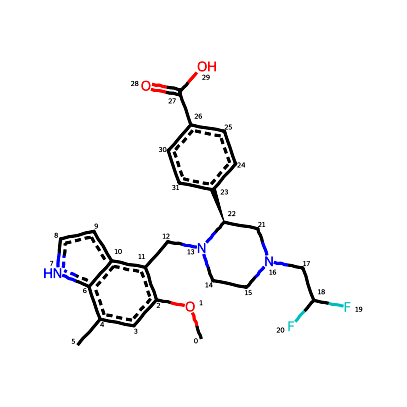 COc1cc(C)c2[nH]ccc2c1CN1CCN(CC(F)F)C[C@@H]1c1ccc(C(=O)O)cc1